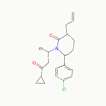 C=CCC1CCC(c2ccc(Cl)cc2)N(C(CC)CC(=O)C2CC2)C1=O